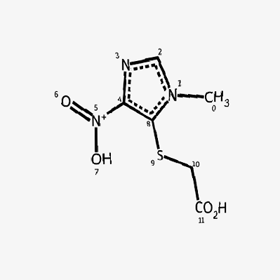 Cn1cnc([N+](=O)O)c1SCC(=O)O